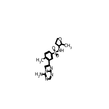 Cc1ccc(S(=O)(=O)NC2CCOC2C)cc1-c1cn2c(N)ncnc2n1